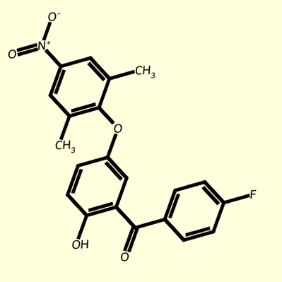 Cc1cc([N+](=O)[O-])cc(C)c1Oc1ccc(O)c(C(=O)c2ccc(F)cc2)c1